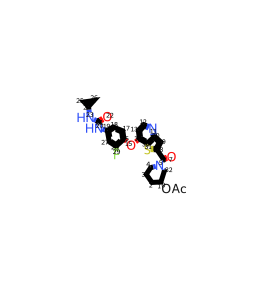 CC(=O)O[C@@H]1CCCN(C(=O)c2cc3nccc(Oc4ccc(NC(=O)NC5CC5)cc4F)c3s2)C1